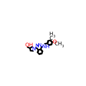 COc1ccc(CNc2nnc(N3CCC(CO)C3)c3ccccc23)cc1C